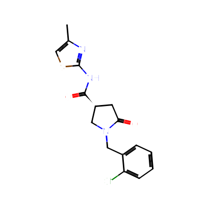 Cc1csc(NC(=O)[C@H]2CC(=O)N(Cc3ccccc3Cl)C2)n1